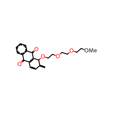 C=C1C=CC2=C(C(=O)c3ccccc3C2=O)C1OCCOCCOCCOC